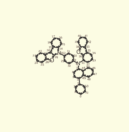 c1ccc(-c2ccc(N(c3ccc(-n4c5ccccc5c5c6ccccc6oc54)cc3)c3cccc4c3oc3ccccc34)c3ccccc23)cc1